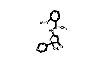 COc1ccccc1[C@H](C)NC1=NC(=O)C(C)(c2ccncc2)S1